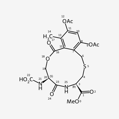 COC(=O)[C@@H]1CSCc2c(OC(C)=O)cc(OC(C)=O)c(C)c2C(=O)OC[C@H](NC(=O)O)C(=O)N1